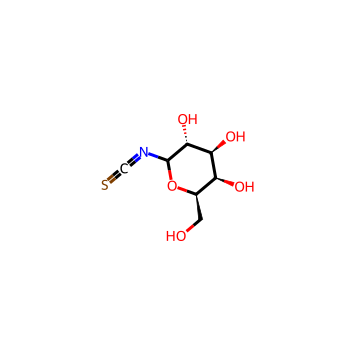 OC[C@H]1OC(N=C=S)[C@H](O)[C@@H](O)[C@H]1O